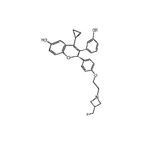 Oc1cccc(C2=C(C3CC3)c3cc(O)ccc3O[C@@H]2c2ccc(OCCN3CC(CF)C3)cc2)c1